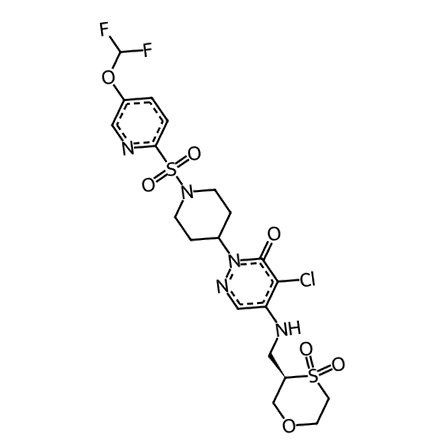 O=c1c(Cl)c(NC[C@@H]2COCCS2(=O)=O)cnn1C1CCN(S(=O)(=O)c2ccc(OC(F)F)cn2)CC1